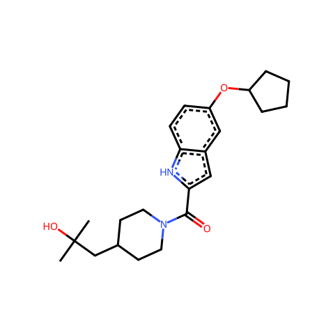 CC(C)(O)CC1CCN(C(=O)c2cc3cc(OC4CCCC4)ccc3[nH]2)CC1